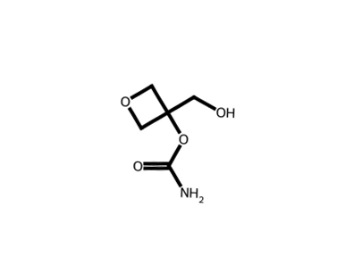 NC(=O)OC1(CO)COC1